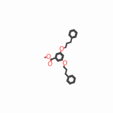 COC(=O)c1cc(OCCCc2ccccc2)cc(OCCCc2ccccc2)c1